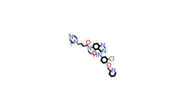 C[C@@H]1CN(C)CCN1C/C=C/C(=O)N1CCOc2c1ccc1ncnc(Nc3ccc(OCc4ccccn4)c(Cl)c3)c21